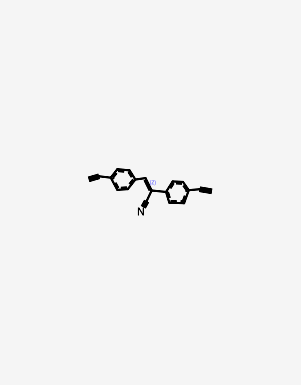 C#Cc1ccc(/C=C(\C#N)c2ccc(C#C)cc2)cc1